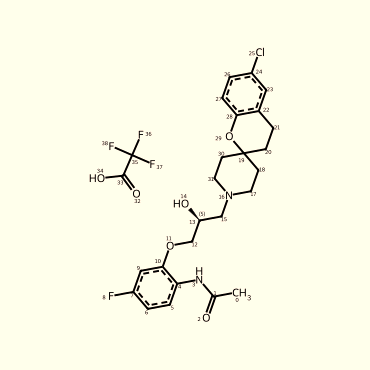 CC(=O)Nc1ccc(F)cc1OC[C@@H](O)CN1CCC2(CCc3cc(Cl)ccc3O2)CC1.O=C(O)C(F)(F)F